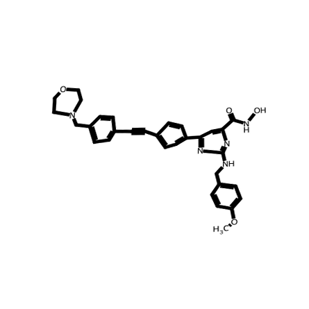 COc1ccc(CNc2nc(C(=O)NO)cc(-c3ccc(C#Cc4ccc(CN5CCOCC5)cc4)cc3)n2)cc1